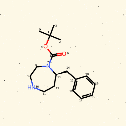 CC(C)(C)OC(=O)N1CCNCC[C@@H]1Cc1ccccc1